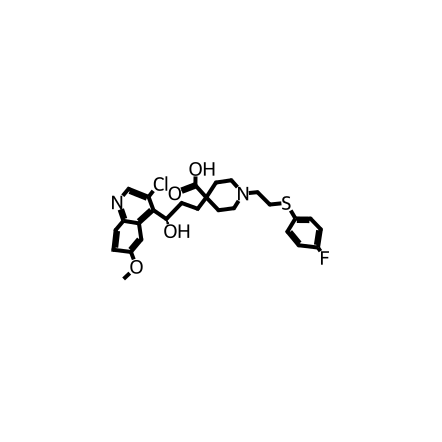 COc1ccc2ncc(Cl)c([C@@H](O)CCC3(C(=O)O)CCN(CCSc4ccc(F)cc4)CC3)c2c1